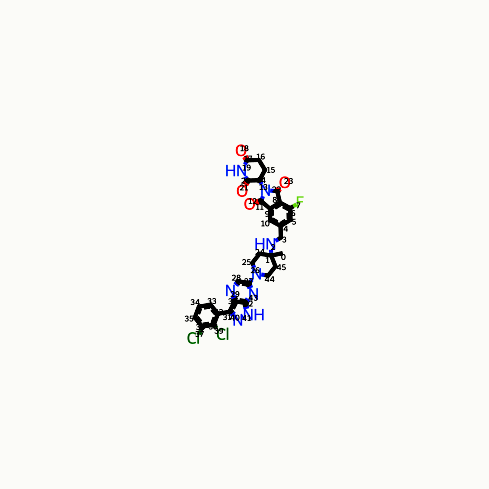 CC1(NCc2cc(F)c3c(c2)C(=O)N(C2CCC(=O)NC2=O)C3=O)CCN(c2cnc3c(-c4cccc(Cl)c4Cl)n[nH]c3n2)CC1